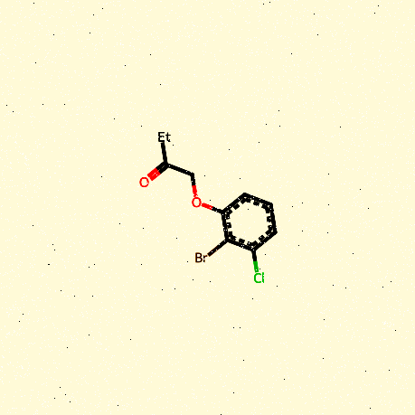 CCC(=O)COc1cccc(Cl)c1Br